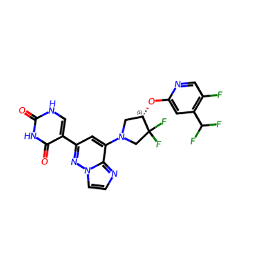 O=c1[nH]cc(-c2cc(N3C[C@H](Oc4cc(C(F)F)c(F)cn4)C(F)(F)C3)c3nccn3n2)c(=O)[nH]1